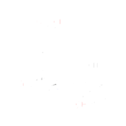 CCCC1(C(O)C/C=C/[C@H]2C=CC(=O)[C@@H]2C/C=C\CCCC(=O)O)CCC1